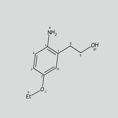 CCOc1ccc(N)c(CCO)c1